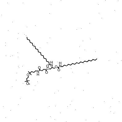 CCCCCCCCCCCCCCCCCCNC(=O)OCC(COC(=O)CCC(=O)NCCCC(C)(C)OCCC(C)(C)OC)NC(=O)CCCCCCCCCCCCCCCCC